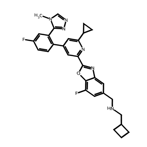 Cn1cnnc1-c1cc(F)ccc1-c1cc(-c2nc3cc(CNCC4CCC4)cc(F)c3o2)nc(C2CC2)c1